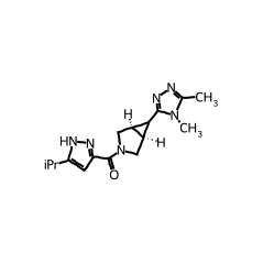 Cc1nnc(C2[C@H]3CN(C(=O)c4cc(C(C)C)[nH]n4)C[C@@H]23)n1C